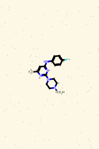 O=C(O)N1CCN(c2nc(Nc3ccc(F)cc3)cc(C(F)(F)F)n2)CC1